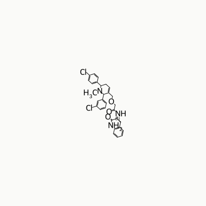 CN1C(c2ccc(Cl)cc2)CC=C(COCC(=O)N[C@@H](Cc2ccccc2)C(N)=O)C1c1cccc(Cl)c1